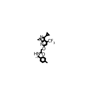 Cc1ccc([C@H](C)NC(=O)COc2cc(C(F)(F)F)c3c(C4CC4)nn(C)c3n2)cc1